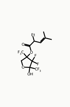 CCC(C=C(C)C)C(=O)OC1(C(F)(F)F)COC(O)(C(F)(F)F)C1(F)F